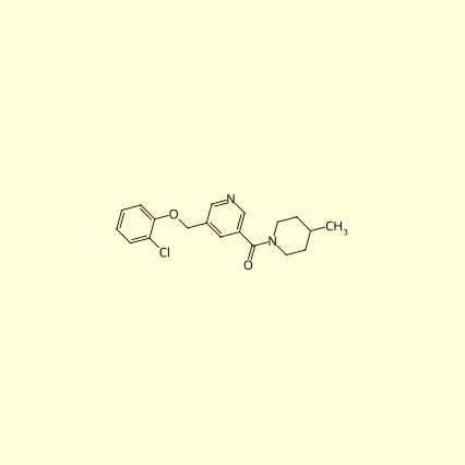 CC1CCN(C(=O)c2cncc(COc3ccccc3Cl)c2)CC1